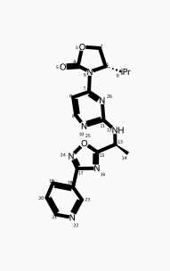 CC(C)[C@H]1COC(=O)N1c1ccnc(N[C@@H](C)c2nc(-c3cccnc3)no2)n1